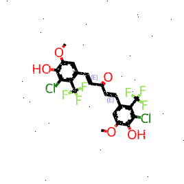 COc1cc(/C=C/C(=O)/C=C/c2cc(OC)c(O)c(Cl)c2C(F)(F)F)c(C(F)(F)F)c(Cl)c1O